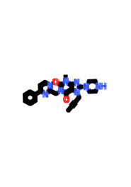 CC#CCn1c(N2CCNCC2)nc2c1c(=O)n(Cc1nccc(-c3ccccc3)n1)c(=O)n2C